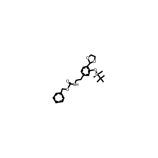 CC(C)(C)[Si](C)(C)Oc1cc(CCNC(=O)OCc2ccccc2)ccc1C1OCCO1